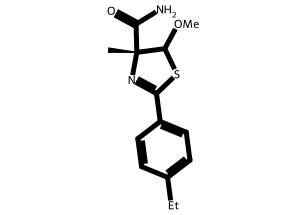 CCc1ccc(C2=N[C@](C)(C(N)=O)C(OC)S2)cc1